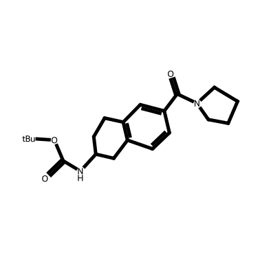 CC(C)(C)OC(=O)NC1CCc2cc(C(=O)N3CCCC3)ccc2C1